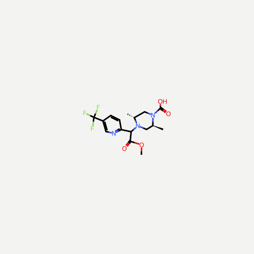 COC(=O)C(c1ccc(C(F)(F)F)cn1)N1C[C@H](C)N(C(=O)O)C[C@H]1C